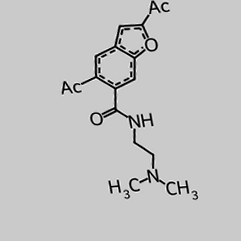 CC(=O)c1cc2cc(C(C)=O)c(C(=O)NCCN(C)C)cc2o1